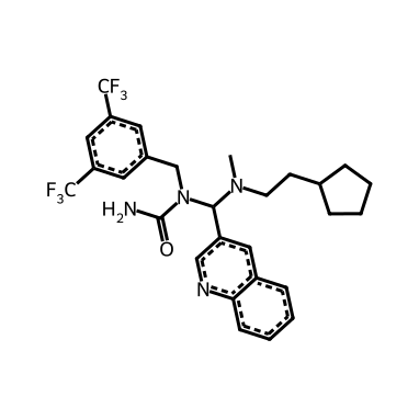 CN(CCC1CCCC1)C(c1cnc2ccccc2c1)N(Cc1cc(C(F)(F)F)cc(C(F)(F)F)c1)C(N)=O